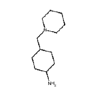 NC1CCC(CN2CC[CH]CC2)CC1